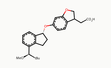 CO[C@@H](c1cccc2c1CC[C@H]2Oc1ccc2c(c1)OCC2CC(=O)O)C(C)(C)C